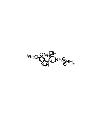 COc1cc2ncnc(N3CCCN(CCS(N)(=O)=O)CC3)c2cc1OC.Cl